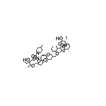 CCC(C(=O)[C@@H](C)[C@@H](O)C1(C)C[C@]12O[C@@H]([C@@H](CC)C(=O)O)CC[C@@H]2C)[C@H]1O[C@]2(C=C[C@@H](NC(=O)N3CCC(C)CC3)[C@]3(CC[C@@](C)([C@H]4CC[C@](O)(CC)[C@H](C)O4)O3)O2)[C@H](C)C[C@@H]1C